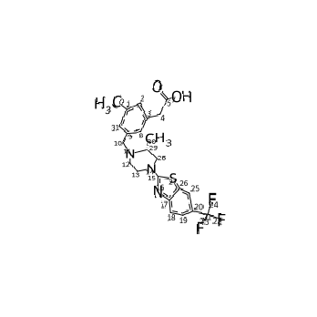 Cc1cc(CC(=O)O)cc(CN2CCN(c3nc4ccc(C(F)(F)F)cc4s3)C[C@H]2C)c1